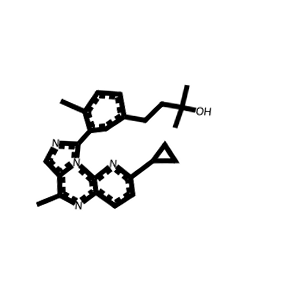 Cc1ccc(CCC(C)(C)O)cc1-c1ncc2c(C)nc3ccc(C4CC4)nc3n12